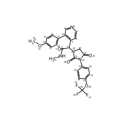 CNC(=O)C(c1ccncc1-c1ccc(OC)cc1)N1CC(=O)N(c2ccc(OC(F)(F)F)cc2)C1=O